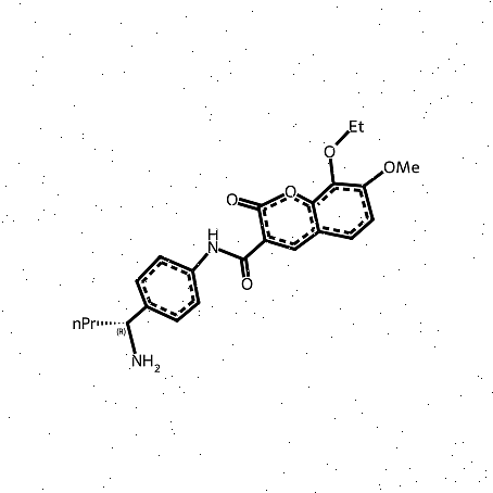 CCC[C@@H](N)c1ccc(NC(=O)c2cc3ccc(OC)c(OCC)c3oc2=O)cc1